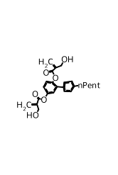 C=C(CO)C(=O)Oc1ccc(OC(=O)C(=C)CO)c(-c2ccc(CCCCC)cc2)c1